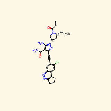 C=CC(=O)N1C[C@@H](n2nc(C#Cc3cc4nnc5c(c4cc3Cl)CCC5)c(C(N)=O)c2N)C[C@@H]1COC